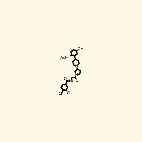 CC(=O)Nc1ccc(O)cc1C1CCN(C2CCN(C(=O)CNC(=O)c3ccc(Cl)c(Cl)c3)C2)CC1